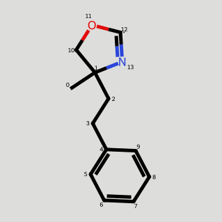 CC1(CCc2ccccc2)CO[C]=N1